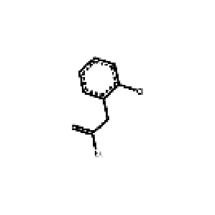 C=C(CC)Cc1ccccc1Cl